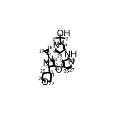 CC(C)(O)c1cc(Nc2cc(Oc3cn(C4CC4)nc3C3CCOCC3)ccn2)ccn1